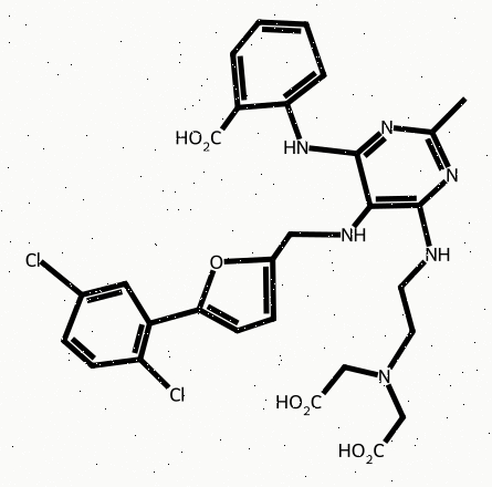 Cc1nc(NCCN(CC(=O)O)CC(=O)O)c(NCc2ccc(-c3cc(Cl)ccc3Cl)o2)c(Nc2ccccc2C(=O)O)n1